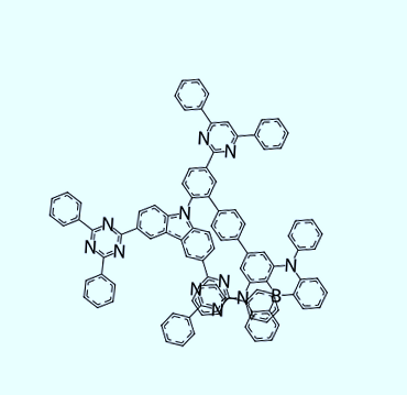 c1ccc(-c2cc(-c3ccccc3)nc(-c3ccc(-n4c5ccc(-c6nc(-c7ccccc7)nc(-c7ccccc7)n6)cc5c5cc(-c6nc(-c7ccccc7)nc(-c7ccccc7)n6)ccc54)c(-c4ccc(-c5cc6c7c(c5)N(c5ccccc5)c5ccccc5B7c5ccccc5N6c5ccccc5)cc4)c3)n2)cc1